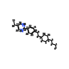 CCCCC1CCC(CCc2ccc(-c3ncc(CC)cn3)cc2)CC1